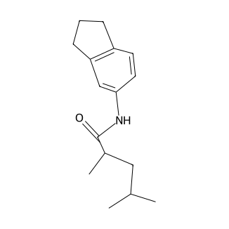 CC(C)CC(C)C(=O)Nc1ccc2c(c1)CCC2